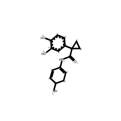 CCCC1C=CC(NC(=O)C2(c3ccc(O)c(O)c3)CC2)=CC1